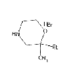 Br.CCC1(C)CNCCO1